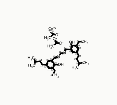 CC(=O)[O-].CC(=O)[O-].CCc1cc(CCC(C)C)cc(C=NCN=Cc2cc(CCC(C)C)cc(CC)c2O)c1O.[Co+2]